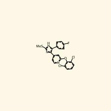 CSc1nc(-c2ccnc(Oc3c(Cl)cccc3Cl)c2)c(-c2ccc(F)cc2)[nH]1